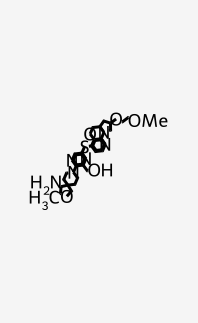 COCCOC1CC2COc3c(Sc4cnc(N5CCC6(CC5)COC(C)C6N)c(CO)n4)ccnc3N2C1